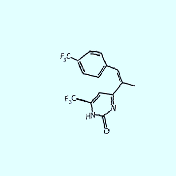 CC(=Cc1ccc(C(F)(F)F)cc1)c1cc(C(F)(F)F)[nH]c(=O)n1